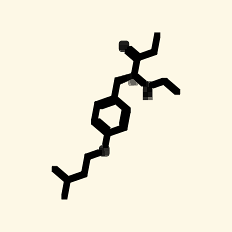 CCN[C@@H](Cc1ccc(OCCC(C)C)cc1)C(=O)CC